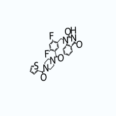 O=C(c1cccs1)N1CCN(C(=O)c2cc(Cn3c(=O)[nH]c(=O)c4ccccc43)c(F)cc2F)CC1